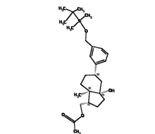 CC(=O)OC[C@H]1CC[C@]2(O)C[C@@H](c3cccc(CO[Si](C)(C)C(C)(C)C)c3)CC[C@]12C